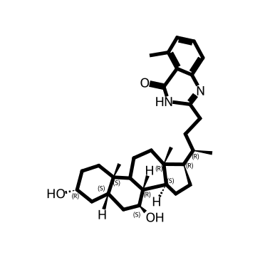 Cc1cccc2nc(CC[C@@H](C)[C@H]3CC[C@H]4[C@H]5C(CC[C@]34C)[C@@]3(C)CC[C@@H](O)C[C@H]3C[C@@H]5O)[nH]c(=O)c12